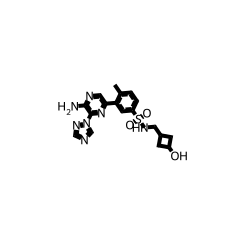 Cc1ccc(S(=O)(=O)NCC2CC(O)C2)cc1-c1cnc(N)c(-n2cncn2)n1